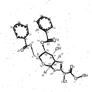 CCN(C(=O)OC(C)(C)C)C1=N[C@@H]2[C@@H](O)[C@H](OC(=O)c3ccccc3)[C@@H](COC(=O)c3ccccc3)O[C@@H]2S1